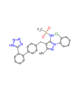 CCCc1nn(-c2ccccc2Cl)c(NS(=O)(=O)C(F)(F)F)c1Cc1ccc(-c2ccccc2-c2nnn[nH]2)cc1